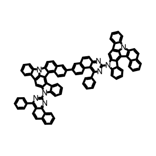 c1ccc(-c2nc(-n3c4ccccc4c4c5c6c7ccc(-c8ccc9c(ccc%10nc(-n%11c%12ccccc%12c%12c%13c%14c%15ccccc%15ccc%14n%14c%15ccccc%15c(cc%12%11)c%13%14)nc(-c%11ccccc%11)c%109)c8)cc7ccc6n6c7ccccc7c(cc43)c56)nc3c2ccc2ccccc23)cc1